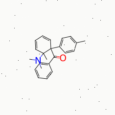 Cc1ccc(C2(C(=O)c3ccccc3)C=CC=CC2(C)N(C)C)cc1